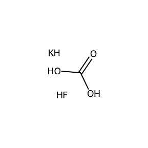 F.O=C(O)O.[KH]